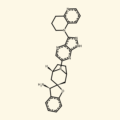 N[C@@H]1c2ccccc2O[C@]12CC1CC[C@@H](C2)N1c1cnc2c(N3CCCc4ncccc43)n[nH]c2n1